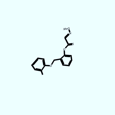 CON=CC(=S)Oc1ccccc1COc1ccccc1C